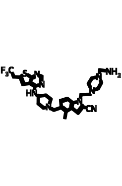 Cc1c(CN2CCC(Nc3ncnc4sc(CC(F)(F)F)cc34)CC2)ccc2c1cc(C#N)n2CCN1CCN(CN)CC1